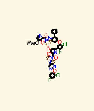 COc1ccnc2c(=O)n(-c3nc4c(-c5ccccc5)cc(Oc5cc(-c6cc(OI)c7oc(=S)n(-c8nc9cnc(Oc%10ccc(F)cc%10Cl)nc9s8)c(=O)c7n6)c(F)cc5Cl)cc4s3)c(=S)oc12